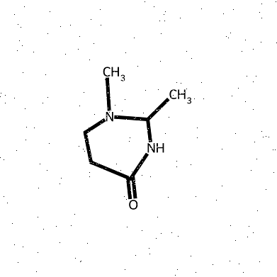 CC1NC(=O)CCN1C